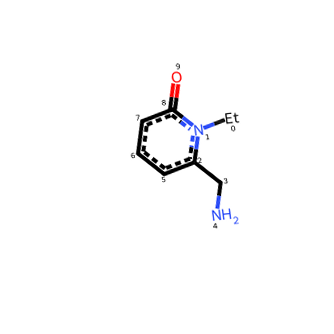 CCn1c(CN)cccc1=O